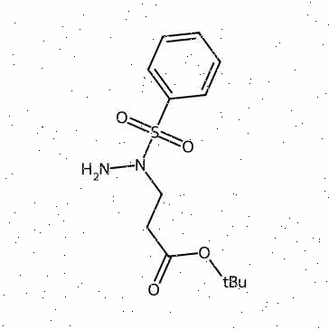 CC(C)(C)OC(=O)CCN(N)S(=O)(=O)c1ccccc1